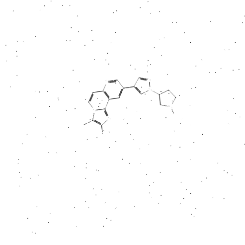 Cc1c(Br)nc2c3cc(-c4cnn(C5CCN(C(=O)O)C5)c4)cnc3ccn12